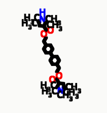 CN1C(C)(C)CC(C(=O)OCCC2CCC(C3CCC(CCOC(=O)C4CC(C)(C)NC4(C)C)CC3)CC2)C1(C)C